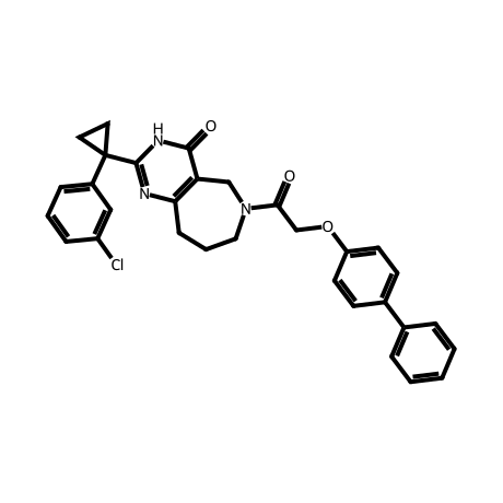 O=C(COc1ccc(-c2ccccc2)cc1)N1CCCc2nc(C3(c4cccc(Cl)c4)CC3)[nH]c(=O)c2C1